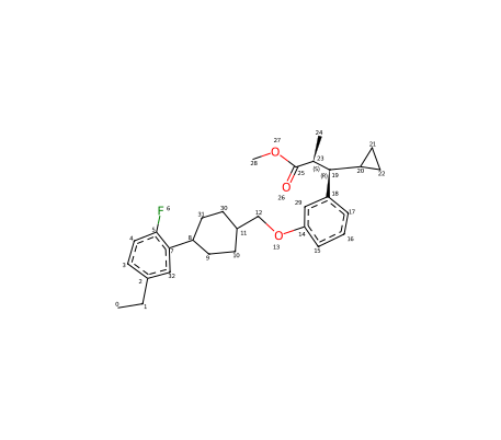 CCc1ccc(F)c(C2CCC(COc3cccc([C@H](C4CC4)[C@H](C)C(=O)OC)c3)CC2)c1